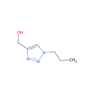 CCCn1cc(CO)nn1